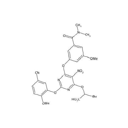 CCC(C)C(Oc1nc(Oc2cc(C#N)ccc2OC)nc(Oc2cc(OC)cc(C(=O)N(C)C)c2)c1[N+](=O)[O-])C(=O)O